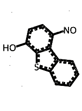 O=Nc1ccc(O)c2sc3ccccc3c12